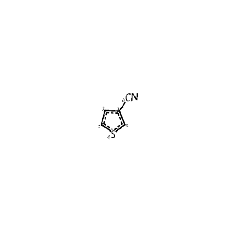 N#Cc1[c]csc1